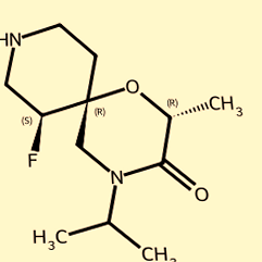 CC(C)N1C[C@@]2(CCNC[C@@H]2F)O[C@H](C)C1=O